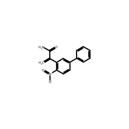 C=C(C(N)=O)c1cc(-c2ccccc2)ccc1[N+](=O)[O-]